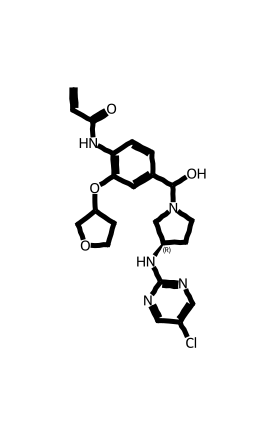 C=CC(=O)Nc1ccc(C(O)N2CC[C@@H](Nc3ncc(Cl)cn3)C2)cc1OC1CCOC1